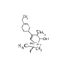 CCC1=CCC(C2=C[C@@H](C(C)(C)I)[C@@H](I)C(O)C2C)CC1